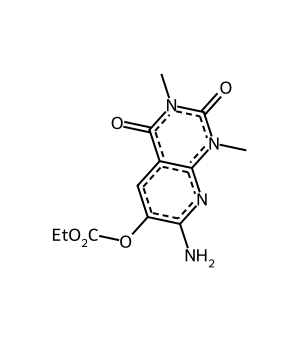 CCOC(=O)Oc1cc2c(=O)n(C)c(=O)n(C)c2nc1N